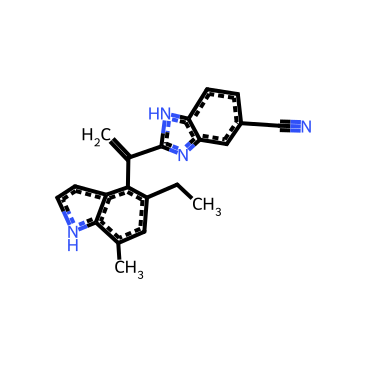 C=C(c1nc2cc(C#N)ccc2[nH]1)c1c(CC)cc(C)c2[nH]ccc12